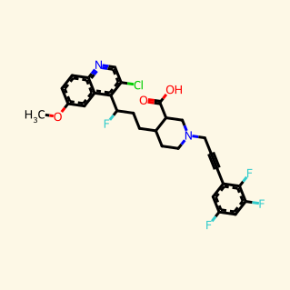 COc1ccc2ncc(Cl)c(C(F)CCC3CCN(CC#Cc4cc(F)cc(F)c4F)CC3C(=O)O)c2c1